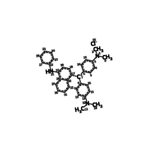 CN(C)c1ccc([C+](c2ccc(N(C)C)cc2)c2ccc(Nc3ccccc3)c3ccccc23)cc1.[Cl-]